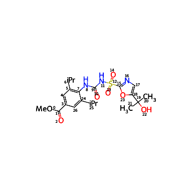 COC(=O)c1cc(C(C)C)c(NC(=O)NS(=O)(=O)c2ncc(C(C)(C)O)o2)c(C(C)C)c1